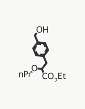 CCCOC(Cc1ccc(CO)cc1)C(=O)OCC